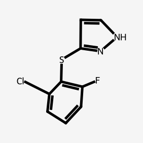 Fc1cccc(Cl)c1Sc1cc[nH]n1